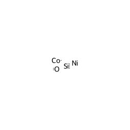 [Co].[Ni].[O].[Si]